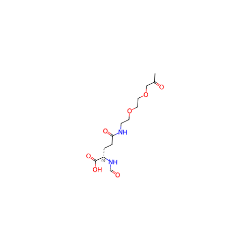 CC(=O)COCCOCCNC(=O)CC[C@H](NC=O)C(=O)O